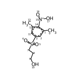 Cc1cc(S(=O)(=O)CCCO)cc(C)c1[N+](=O)O